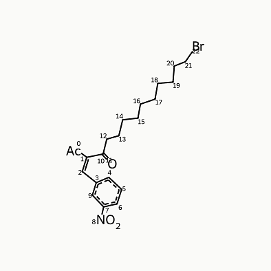 CC(=O)C(=Cc1cccc([N+](=O)[O-])c1)C(=O)CCCCCCCCCCBr